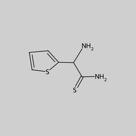 NC(=S)C(N)c1cccs1